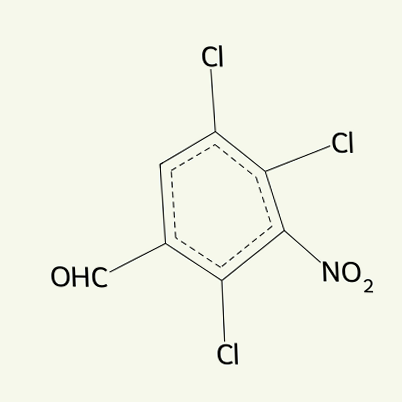 O=Cc1cc(Cl)c(Cl)c([N+](=O)[O-])c1Cl